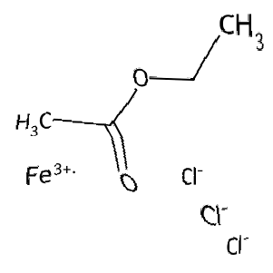 CCOC(C)=O.[Cl-].[Cl-].[Cl-].[Fe+3]